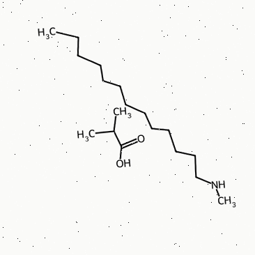 CC(C)C(=O)O.CCCCCCCCCCCCCNC